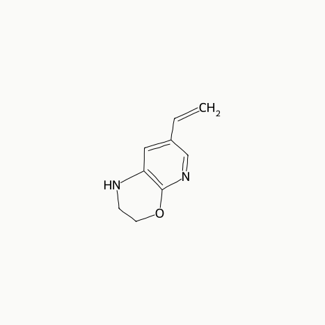 C=Cc1cnc2c(c1)NCCO2